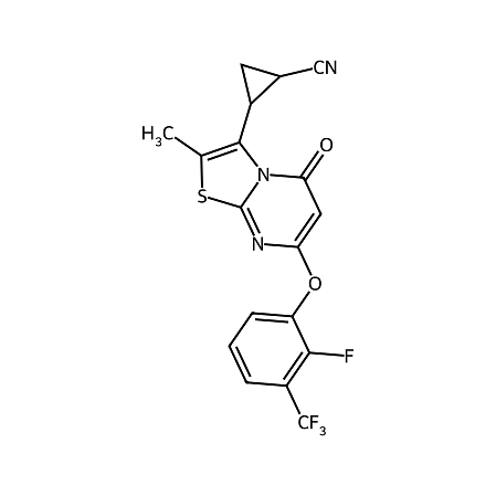 Cc1sc2nc(Oc3cccc(C(F)(F)F)c3F)cc(=O)n2c1C1CC1C#N